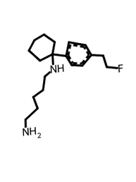 NCCCCCNC1(c2ccc(CCF)cc2)CCCCC1